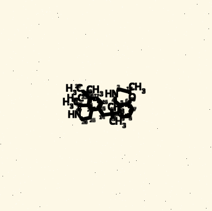 C[C@@H]1CNCc2c(cccc2C(C)(C)Cc2ccc(C(C)(C)C)c3c2CCN[C@H]3C)O1